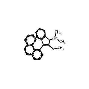 CCC1=C(c2cccc3ccc4ccccc4c23)c2ccccc2[CH]1[Zr]([CH3])[CH3]